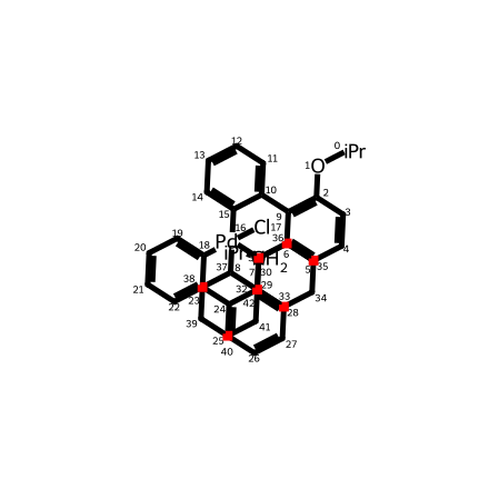 CC(C)Oc1cccc(OC(C)C)c1-c1cccc[c]1[Pd]([Cl])([c]1ccccc1-c1ccccc1N)([CH]1CCCCC1)[CH]1CCCCC1